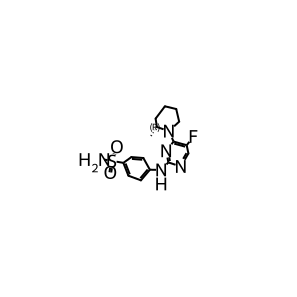 C[C@@H]1CCCCN1c1nc(Nc2ccc(S(N)(=O)=O)cc2)ncc1F